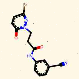 N#Cc1cccc(NC(=O)CCn2nc(Br)ccc2=O)c1